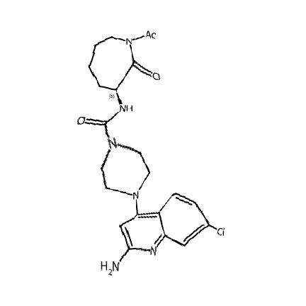 CC(=O)N1CCCC[C@H](NC(=O)N2CCN(c3cc(N)nc4cc(Cl)ccc34)CC2)C1=O